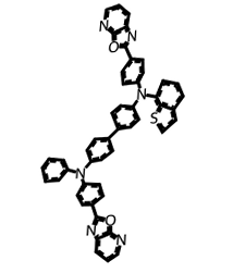 c1ccc(N(c2ccc(-c3ccc(N(c4ccc(-c5nc6cccnc6o5)cc4)c4cccc5ccsc45)cc3)cc2)c2ccc(-c3nc4cccnc4o3)cc2)cc1